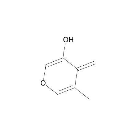 C=C1C(C)=COC=C1O